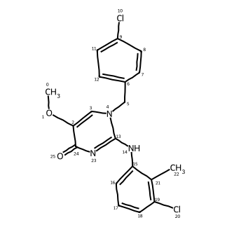 COc1cn(Cc2ccc(Cl)cc2)c(Nc2cccc(Cl)c2C)nc1=O